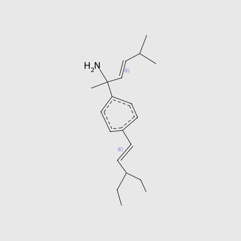 CCC(/C=C/c1ccc(C(C)(N)/C=C/C(C)C)cc1)CC